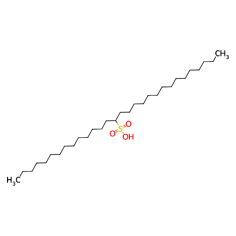 CCCCCCCCCCCCCCCC(CCCCCCCCCCCCCC)S(=O)(=O)O